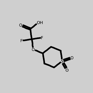 O=C(O)C(F)(F)OC1CCS(=O)(=O)CC1